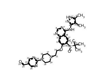 Cc1[nH]nc(Nc2ncnc3cc(OCCN4CCN(c5ncc(C=O)cn5)CC4)c([S+]([O-])C(C)(C)C)cc23)c1C